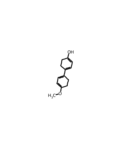 COC1=CC=C(C2=CC=C(O)CC2)CC1